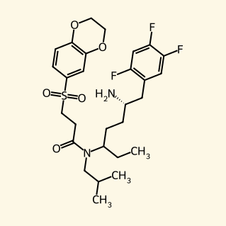 CCC(CC[C@H](N)Cc1cc(F)c(F)cc1F)N(CC(C)C)C(=O)CCS(=O)(=O)c1ccc2c(c1)OCCO2